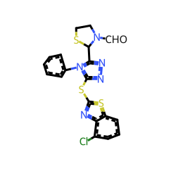 O=CN1CCSC1c1nnc(Sc2nc3c(Cl)cccc3s2)n1-c1ccccc1